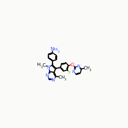 Cc1ccnc(Oc2ccc(-c3c(-c4ccc(N)cc4)n(C)c4ncnc(C)c34)cc2F)n1